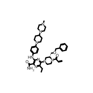 C=CC(=O)N1CCN(c2nc(Nc3ccc(N4CCC(N5CCN(C)CC5)CC4)cc3)c(C(N)=O)nc2CC)C[C@@H]1COCc1ccccc1